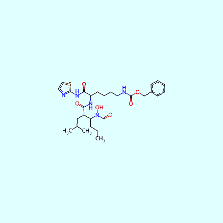 CCCC(C(CC(C)C)C(=O)NC(CCCCNC(=O)OCc1ccccc1)C(=O)Nc1nccs1)N(O)C=O